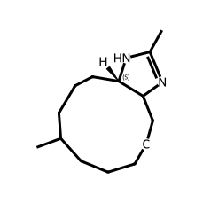 CC1=NC2CCCCCC(C)CCC[C@@H]2N1